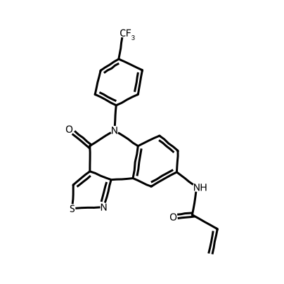 C=CC(=O)Nc1ccc2c(c1)c1nscc1c(=O)n2-c1ccc(C(F)(F)F)cc1